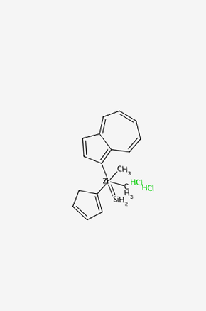 Cl.Cl.[CH3][Zr]([CH3])(=[SiH2])([C]1=CC=CC1)[c]1ccc2cccccc1-2